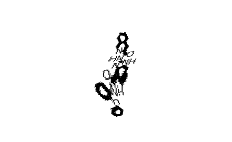 O=C(Nc1nc2c(C(=O)Nc3ccccc3Oc3ccccc3)cccc2[nH]1)c1cc2ccccc2cn1